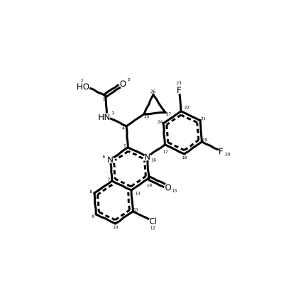 O=C(O)NC(c1nc2cccc(Cl)c2c(=O)n1-c1cc(F)cc(F)c1)C1CC1